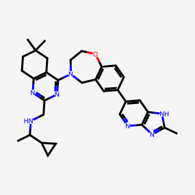 Cc1nc2ncc(-c3ccc4c(c3)CN(c3nc(CNC(C)C5CC5)nc5c3CC(C)(C)CC5)CCO4)cc2[nH]1